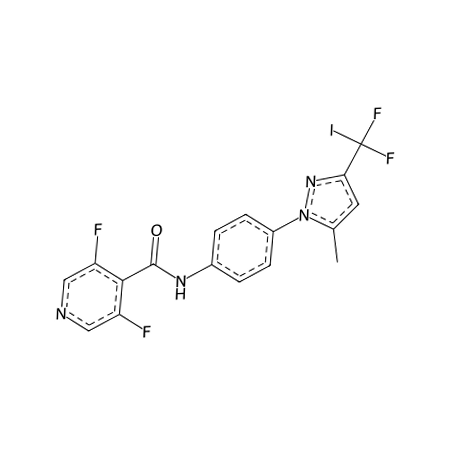 Cc1cc(C(F)(F)I)nn1-c1ccc(NC(=O)c2c(F)cncc2F)cc1